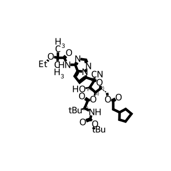 CCOC(C)(C)C(=O)Nc1ncnn2c([C@]3(C#N)O[C@H](COC(=O)CC4CCCC4)[C@@H](OC(=O)[C@@H](NC(=O)OC(C)(C)C)C(C)(C)C)[C@H]3O)ccc12